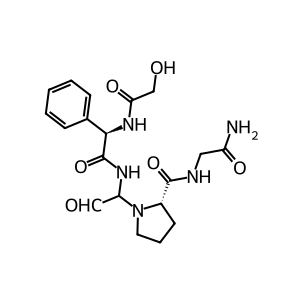 NC(=O)CNC(=O)[C@@H]1CCCN1C(C=O)NC(=O)[C@H](NC(=O)CO)c1ccccc1